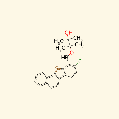 CC(C)(O)C(C)(C)OBc1c(Cl)ccc2c1sc1c3ccccc3ccc21